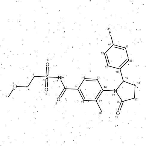 COCCS(=O)(=O)NC(=O)c1ccc(N2C(=O)CSC2c2ccc(F)cc2)c(C)c1